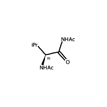 CC(=O)NC(=O)[C@@H](NC(C)=O)C(C)C